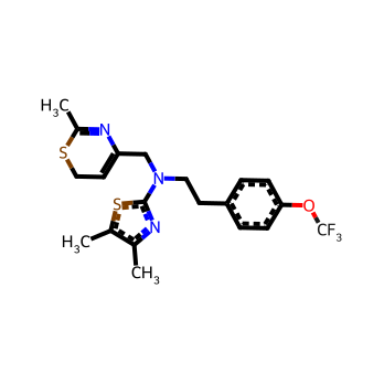 CC1=NC(CN(CCc2ccc(OC(F)(F)F)cc2)c2nc(C)c(C)s2)=CCS1